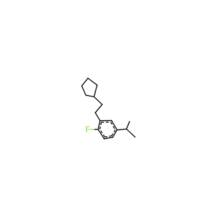 CC(C)c1ccc(F)c(CCC2CCCC2)c1